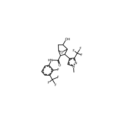 Cn1cc(C2C3OC(CC3O)C2C(=O)Nc2cccc(C(F)(F)F)c2F)c(C(F)(F)F)n1